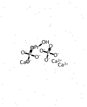 O=P([O-])([O-])[O-].O=P([O-])([O-])[O-].[CH2]CCO.[Ca+2].[Ca+2].[Ca+2]